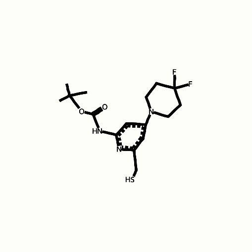 CC(C)(C)OC(=O)Nc1cc(N2CCC(F)(F)CC2)cc(CS)n1